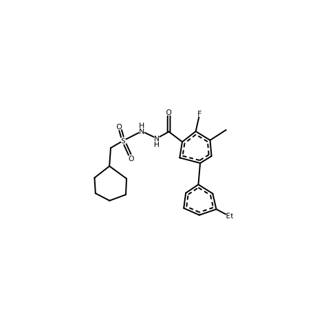 CCc1cccc(-c2cc(C)c(F)c(C(=O)NNS(=O)(=O)CC3CCCCC3)c2)c1